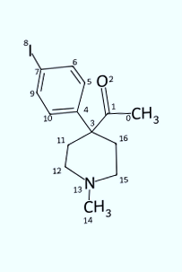 CC(=O)C1(c2ccc(I)cc2)CCN(C)CC1